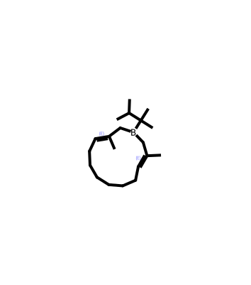 C/C1=C\CCCCCC/C=C(\C)CB(C(C)(C)C(C)C)C1